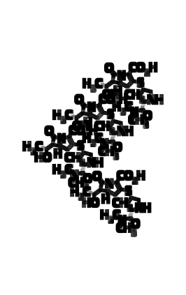 C[C@@H](O)[C@H]1C(=O)N2C(C(=O)O)=C(S[C@@H]3CN[C@H](C(=O)N(C)C)C3)[C@H](C)[C@H]12.C[C@@H](O)[C@H]1C(=O)N2C(C(=O)O)=C(S[C@@H]3CN[C@H](C(=O)N(C)C)C3)[C@H](C)[C@H]12.C[C@@H](O)[C@H]1C(=O)N2C(C(=O)O)=C(S[C@@H]3CN[C@H](C(=O)N(C)C)C3)[C@H](C)[C@H]12.C[C@@H](O)[C@H]1C(=O)N2C(C(=O)O)=C(S[C@@H]3CN[C@H](C(=O)N(C)C)C3)[C@H](C)[C@H]12